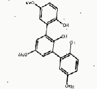 COc1ccc(O)c(-c2cc(OC)cc(-c3cc(OC)ccc3O)c2O)c1